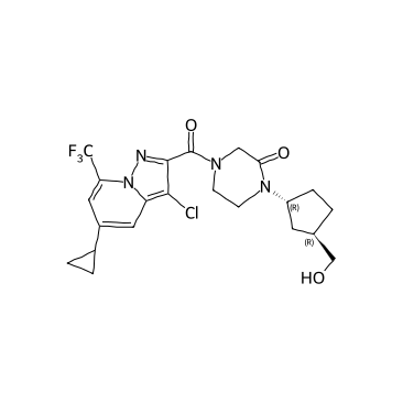 O=C(c1nn2c(C(F)(F)F)cc(C3CC3)cc2c1Cl)N1CCN([C@@H]2CC[C@@H](CO)C2)C(=O)C1